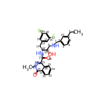 CCc1cccc(CNC[C@@H](O)[C@H](Cc2cc(F)cc(F)c2)NC(=O)c2nn(C)c(=O)c3ccccc23)c1